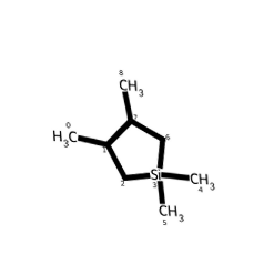 CC1C[Si](C)(C)CC1C